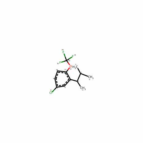 CC(C)C(C)c1cc(Cl)ccc1OC(F)(F)F